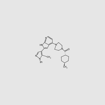 Cc1c(-c2cc3c(N4CCN(C(=O)[C@H]5CC[C@H](C)CC5)CC4)ccnc3[nH]2)cnn1C(C)C